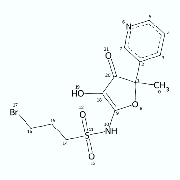 CC1(c2cccnc2)OC(NS(=O)(=O)CCCBr)=C(O)C1=O